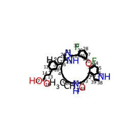 CC1(C)CCCC(C)(c2cccc(CCC(=O)O)c2)c2cnc([nH]2)-c2cc(ccc2F)Oc2c(F)cc3[nH]ccc3c2CCC(=O)NC1